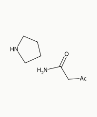 C1CCNC1.CC(=O)CC(N)=O